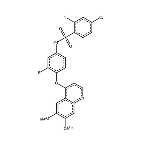 COc1cc2nccc(Oc3ccc(NS(=O)(=O)c4ccc(Cl)cc4F)cc3F)c2cc1OC